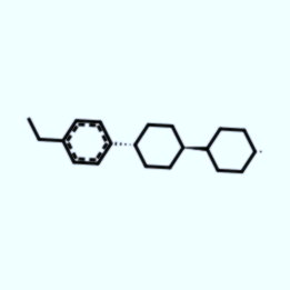 CCc1ccc([C@H]2CC[C@H](C3CC[CH]CC3)CC2)cc1